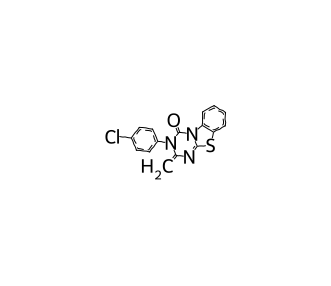 C=C1N=C2Sc3ccccc3N2C(=O)N1c1ccc(Cl)cc1